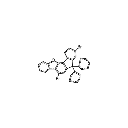 Brc1ccc2c(c1)C(c1ccccc1)(c1ccccc1)c1cc(Br)c3c(oc4ccccc43)c1-2